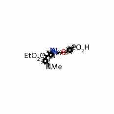 CCOC(=O)CC(c1cccc(CNC)c1)c1ccc2c(nnn2CCCOCc2ccc(C(=O)O)cc2)c1C